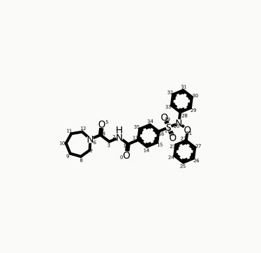 O=C(NCC(=O)N1CCCCCC1)c1ccc(S(=O)(=O)N(Oc2ccccc2)c2ccccc2)cc1